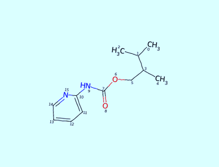 CC(C)C(C)COC(=O)Nc1ccccn1